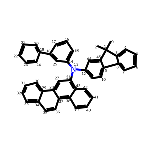 CC1(C)c2ccccc2-c2ccc(N(c3cccc(-c4ccccc4)c3)c3cc4c5ccccc5ccc4c4ccccc34)cc21